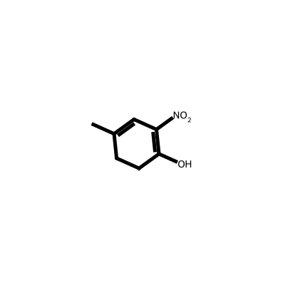 CC1=CC([N+](=O)[O-])=C(O)[CH]C1